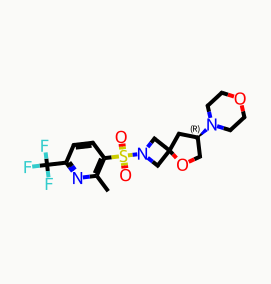 Cc1nc(C(F)(F)F)ccc1S(=O)(=O)N1CC2(C[C@@H](N3CCOCC3)CO2)C1